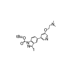 CN(C)CCOc1cncc(-c2ccc3c(c2)c(I)nn3C(=O)OC(C)(C)C)c1